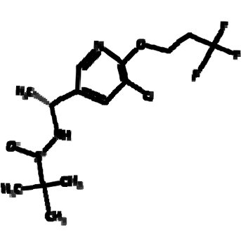 C[C@@H](N[S+]([O-])C(C)(C)C)c1cnc(OCCC(F)(F)F)c(Cl)c1